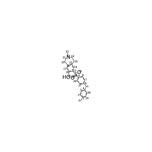 Cc1ccc(Cc2ccc(S(=O)(=O)c3cc4c(cc3O)CCN(C)CC4)cc2)cc1